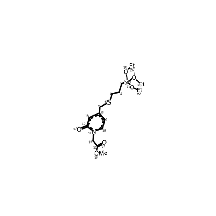 CCO[Si](CCCSCc1ccn(CC(=O)OC)c(=O)c1)(OCC)OCC